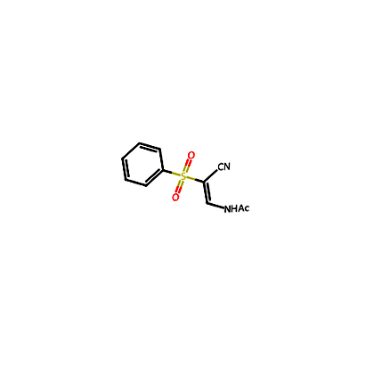 CC(=O)NC=C(C#N)S(=O)(=O)c1ccccc1